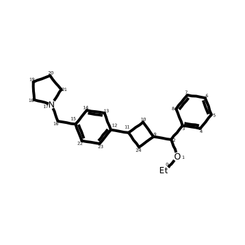 CCOC(c1ccccc1)C1CC(c2ccc(CN3CCCC3)cc2)C1